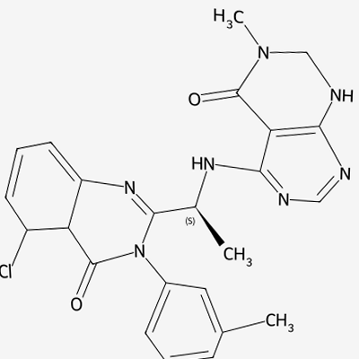 Cc1cccc(N2C(=O)C3C(=CC=CC3Cl)N=C2[C@H](C)Nc2ncnc3c2C(=O)N(C)CN3)c1